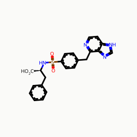 O=C(O)[C@H](Cc1ccccc1)NS(=O)(=O)c1ccc(Cc2nccc3[nH]cnc23)cc1